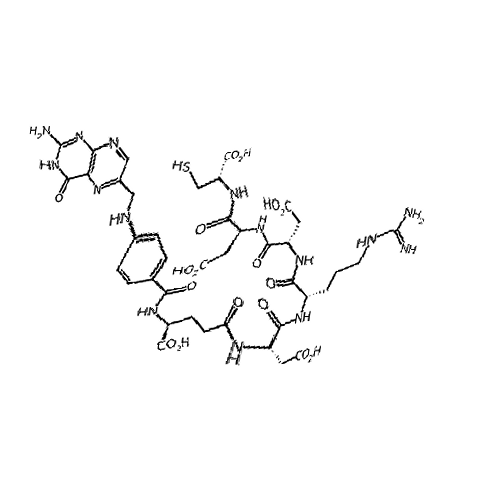 N=C(N)NCCC[C@H](NC(=O)[C@H](CC(=O)O)NC(=O)CC[C@H](NC(=O)c1ccc(NCc2cnc3nc(N)[nH]c(=O)c3n2)cc1)C(=O)O)C(=O)N[C@@H](CC(=O)O)C(=O)N[C@@H](CC(=O)O)C(=O)N[C@H](CS)C(=O)O